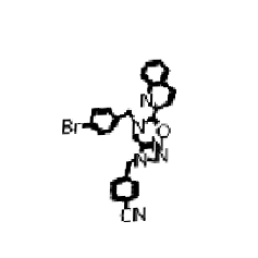 N#Cc1ccc(Cn2cnnc2CN(Cc2ccc(Br)cc2)C(=O)c2ccc3ccccc3n2)cc1